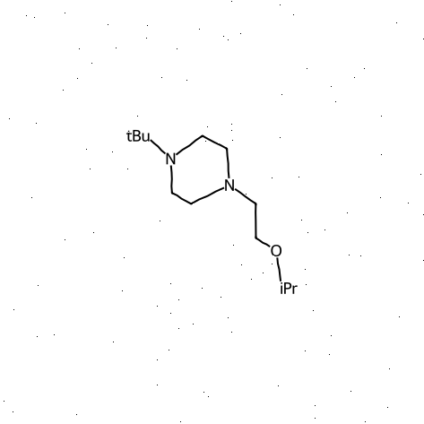 CC(C)OCCN1CCN(C(C)(C)C)CC1